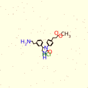 COC(=O)CCc1ccc(N2C(=O)NCC2c2cccc(CCN)c2)cc1.Cl